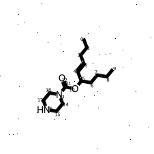 CCCC=CC(CCCC)OC(=O)N1CCNCC1